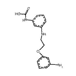 Nc1cccc(OCCNc2cccc(NC(=O)O)c2)c1